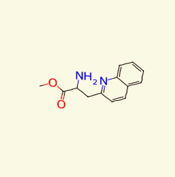 COC(=O)C(N)Cc1ccc2ccccc2n1